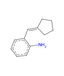 Nc1ccccc1C=C1CCCC1